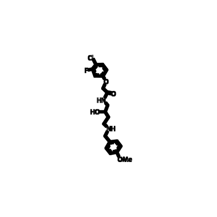 COc1ccc(CNCCC(O)CNC(=O)COc2ccc(Cl)c(F)c2)cc1